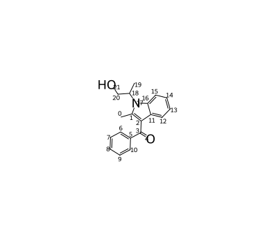 Cc1c(C(=O)c2ccccc2)c2ccccc2n1C(C)CO